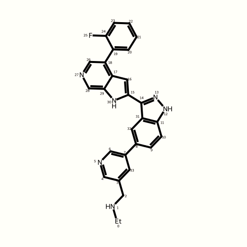 CCNCc1cncc(-c2ccc3[nH]nc(-c4cc5c(-c6ccccc6F)cncc5[nH]4)c3c2)c1